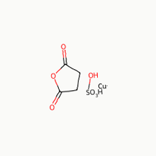 O=C1CCC(=O)O1.O=S(=O)(O)O.[Cu]